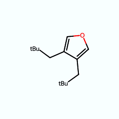 CC(C)(C)Cc1cocc1CC(C)(C)C